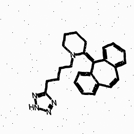 C1=Cc2ccccc2C(=C2CCCCN2CCCCc2nn[nH]n2)c2ccccc21